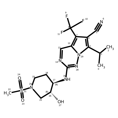 CC(C)c1c(C#N)c(C(F)(F)F)c2cnc(N[C@@H]3CCN(S(C)(=O)=O)C[C@H]3O)nn12